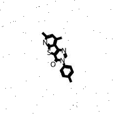 Cc1ccc(-n2cnc3c(sc4nc(C)cc(C)c43)c2=O)cc1